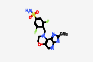 COC1=NC2N=CC3=C(C2=N1)N(Cc1c(F)cc(S(N)(=O)=O)cc1F)CCO3